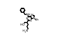 CC(C)n1cnc2c(NCc3ccccc3)nc(C(CO)CCCN)nc21